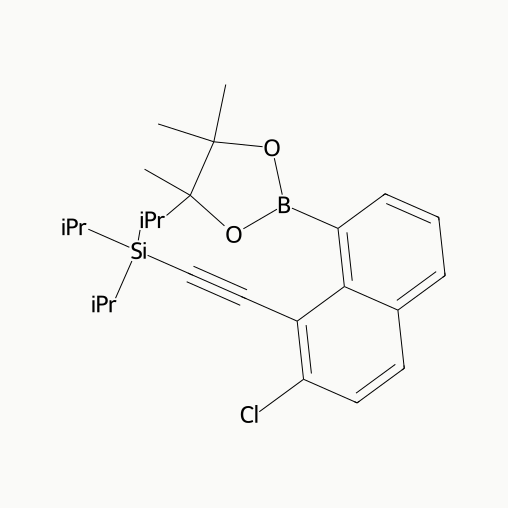 CC(C)[Si](C#Cc1c(Cl)ccc2cccc(B3OC(C)(C)C(C)(C)O3)c12)(C(C)C)C(C)C